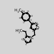 CCc1nccn1Cc1cc(-c2ccc(C)cc2)no1